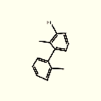 CCc1[c]ccc(-c2ccccc2C)c1C